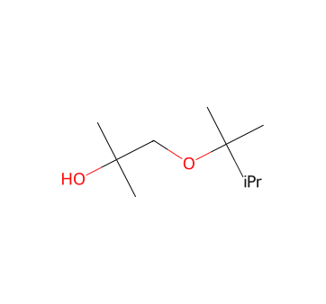 CC(C)C(C)(C)OCC(C)(C)O